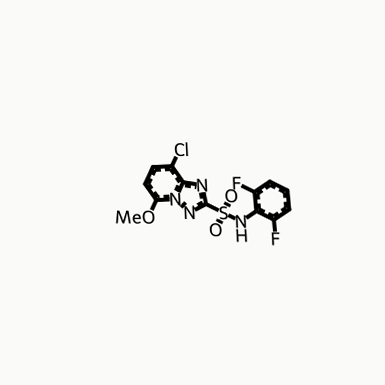 COc1ccc(Cl)c2nc(S(=O)(=O)Nc3c(F)cccc3F)nn12